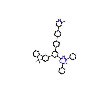 Cc1cc(-c2ccc(-c3ccc(-c4cc(-c5ccc6c(c5)-c5ccccc5C6(C)C)cc(-c5nc(-c6ccccc6)nc(-c6ccccc6)n5)c4)cc3)cc2)ccn1